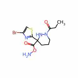 CCC(=O)N1CCCC(C(=O)ON)(c2nc(Br)cs2)N1